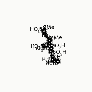 COc1cc(N=Nc2c(S(=O)(=O)O)cc3c(S(=O)(=O)O)c(N=Nc4c(C)c(C#N)c5nc6ccccc6n5c4O)ccc3c2O)c(N(CCCS(=O)(=O)O)CCCS(=O)(=O)O)cc1N=Nc1nc2cc(S(=O)(=O)O)c(OC)cc2s1